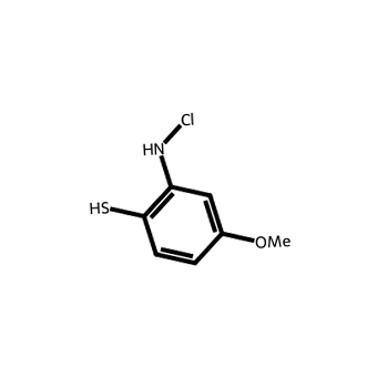 COc1ccc(S)c(NCl)c1